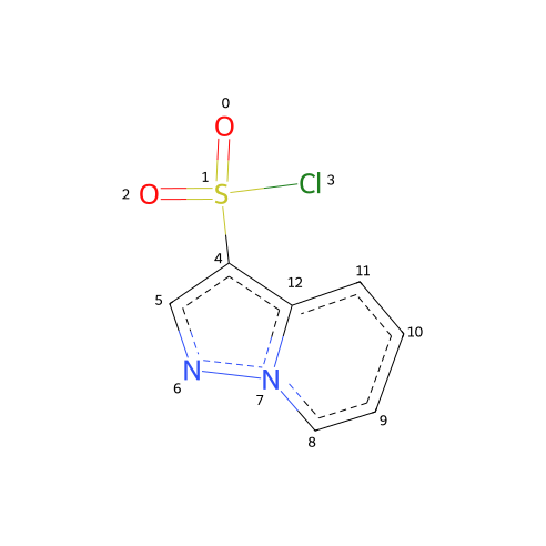 O=S(=O)(Cl)c1cnn2ccccc12